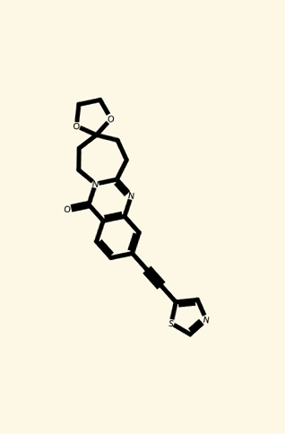 O=c1c2ccc(C#Cc3cncs3)cc2nc2n1CCC1(CC2)OCCO1